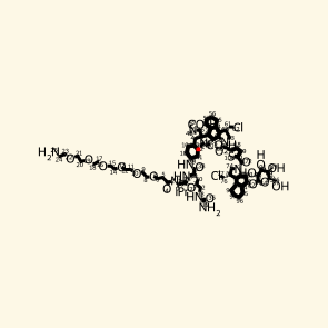 CC(C)[C@H](NC(=O)CCOCCOCCOCCOCCOCCOCCN)C(=O)N[C@@H](CCCNC(N)=O)C(=O)Nc1ccc(CC(CN(C)C(=O)O)(c2cc3c(c4ccccc24)[C@H](CCl)CN3C(=O)c2ccc(C(=O)N3C[C@@H](CCl)c4c3cc(O[C@@H]3O[C@H](CO)[C@H](O)[C@H](O)[C@H]3O)c3ccccc43)s2)N(C)C(=O)O)cc1